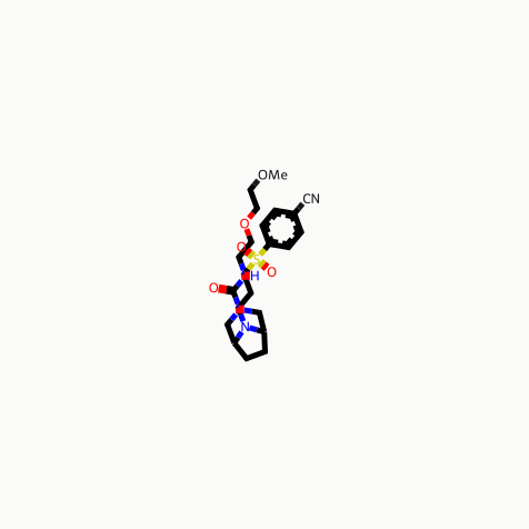 COCCOCCNC(=O)N1CC2CCC(C1)N2CCCS(=O)(=O)c1ccc(C#N)cc1